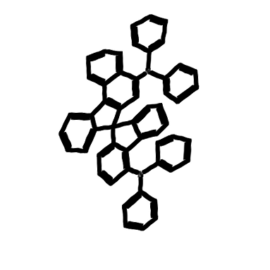 c1ccc(N(c2ccccc2)c2cccc3c2-c2ccccc2C32c3ccccc3-c3c2cc(N(c2ccccc2)c2ccccc2)c2ccccc32)cc1